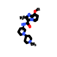 CCOc1cccn2c(C(=O)N[C@H]3CCCN(C4CCN(C)CC4)C3)c(C)nc12